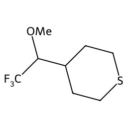 COC(C1CCSCC1)C(F)(F)F